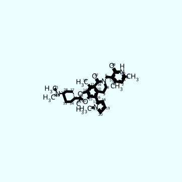 Cc1cc(C)c(CN2CCc3c(c(C)c4c(c3-c3cccn3C)O[C@](C)([C@H]3CC[C@H](N(C)C)CC3)O4)C2=O)c(=O)[nH]1